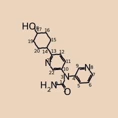 NC(=O)N(c1cccnc1)c1ccc(C2CCC(O)CC2)nc1